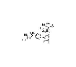 C=C(OC(C)=N)c1ccc(-c2c(F)c(F)cc3c2C(=O)N([C@H](C2CC2)C(C)(C)O)C3)cc1